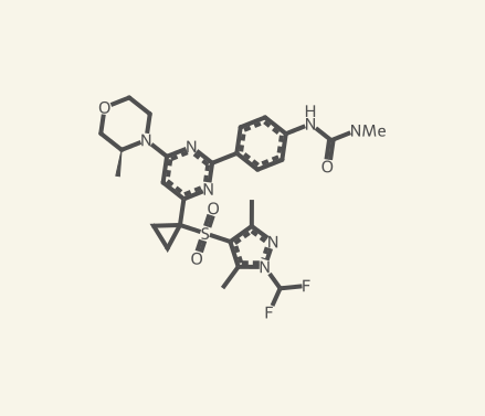 CNC(=O)Nc1ccc(-c2nc(N3CCOC[C@@H]3C)cc(C3(S(=O)(=O)c4c(C)nn(C(F)F)c4C)CC3)n2)cc1